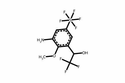 COc1c(N)cc(S(F)(F)(F)(F)F)cc1C(O)C(F)(F)F